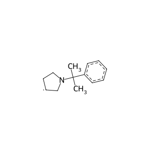 CC(C)(c1ccccc1)N1C[CH]CC1